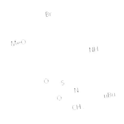 CCCCC1CNc2cc(Br)c(OC)cc2S(=O)(=O)N1C